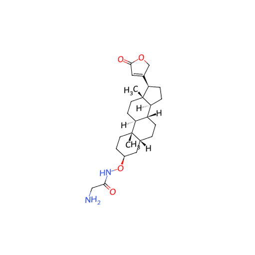 C[C@]12CC[C@H](ONC(=O)CN)C[C@H]1CC[C@@H]1[C@@H]2CC[C@]2(C)[C@@H](C3=CC(=O)OC3)CC[C@@H]12